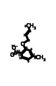 CC=CCOc1cc(C)ccc1[N+](=O)[O-]